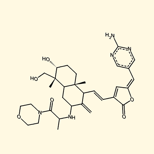 C=C1C(NC(C)C(=O)N2CCOCC2)CC2[C@](C)(CC[C@@H](O)[C@@]2(C)CO)C1/C=C/C1=CC(=C\c2cnc(N)nc2)/OC1=O